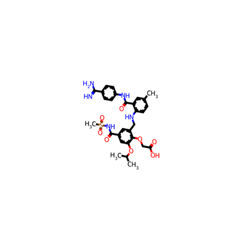 Cc1ccc(NCc2cc(C(=O)NS(C)(=O)=O)cc(OC(C)C)c2OCC(=O)O)c(C(=O)Nc2ccc(C(=N)N)cc2)c1